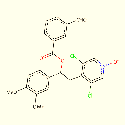 COc1ccc(C(Cc2c(Cl)c[n+]([O-])cc2Cl)OC(=O)c2cccc(C=O)c2)cc1OC